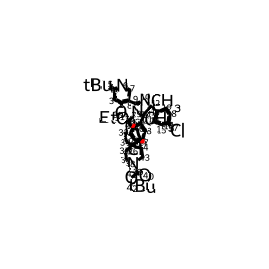 CCOc1cc(C(C)(C)C)ncc1C1=N[C@@](C)(c2ccc(Cl)cc2)[C@@](C)(c2ccc(Cl)cc2)N1C(=O)N1CCC2(CCN(C(=O)OC(C)(C)C)CC2)CC1